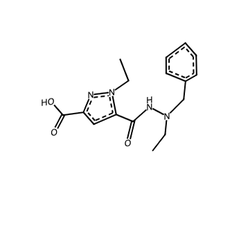 CCN(Cc1ccccc1)NC(=O)c1cc(C(=O)O)nn1CC